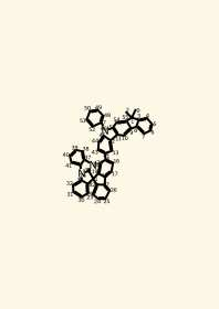 CC1(C)c2ccccc2-c2cc3c4cc(-c5ccc6c(c5)C5(c7ccccc7-6)c6ccccc6-n6c5nc5ccccc56)ccc4n(-c4ccccc4)c3cc21